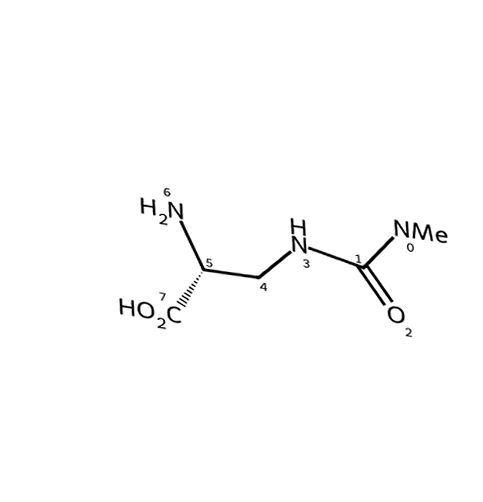 CNC(=O)NC[C@@H](N)C(=O)O